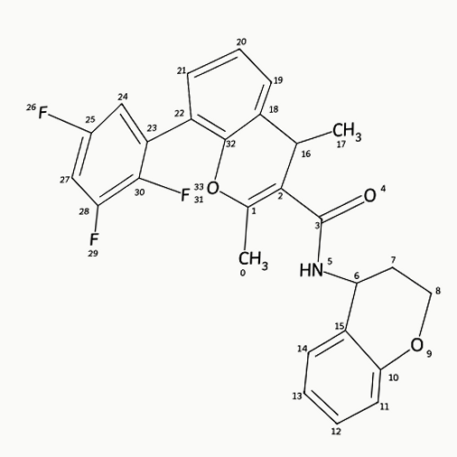 CC1=C(C(=O)NC2CCOc3ccccc32)C(C)c2cccc(-c3cc(F)cc(F)c3F)c2O1